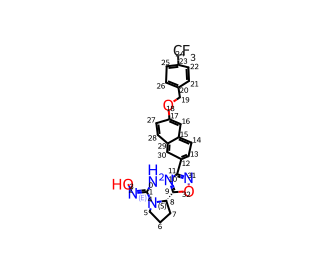 N/C(=N\O)N1CCC[C@H]1c1nc(-c2ccc3cc(OCc4ccc(C(F)(F)F)cc4)ccc3c2)no1